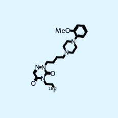 COc1ccccc1N1CCN(CCCCn2ncc(=O)n(CC[18F])c2=O)CC1